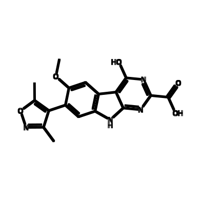 COc1cc2c(cc1-c1c(C)noc1C)[nH]c1nc(C(=O)O)nc(O)c12